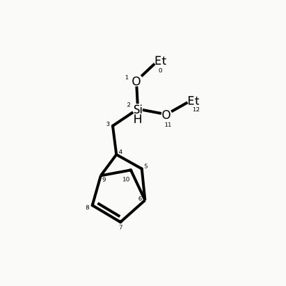 CCO[SiH](CC1CC2C=CC1C2)OCC